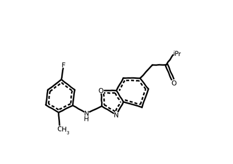 Cc1ccc(F)cc1Nc1nc2ccc(CC(=O)C(C)C)cc2o1